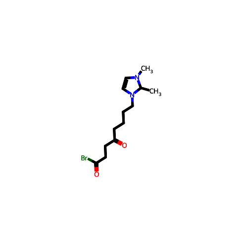 CC1N(C)C=CN1CCCCC(=O)CCC(=O)Br